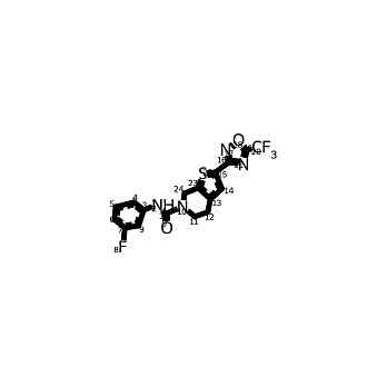 O=C(Nc1cccc(F)c1)N1CCc2cc(-c3noc(C(F)(F)F)n3)sc2C1